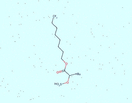 CCCCC(OS(=O)(=O)O)C(=O)OCCCCCCCC(F)(F)F